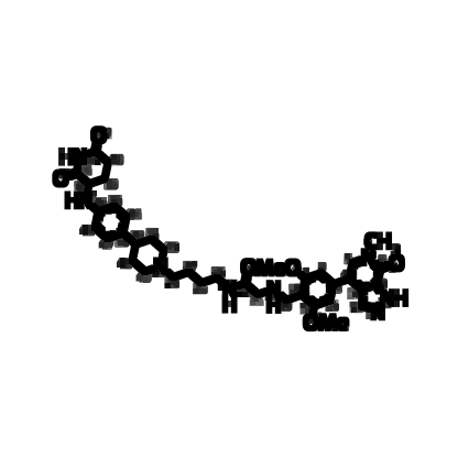 COc1cc(-c2cn(C)c(=O)c3[nH]ncc23)cc(OC)c1CNCC(=O)NCCCCN1CCC(c2ccc(NC3CCC(=O)NC3=O)cc2)CC1